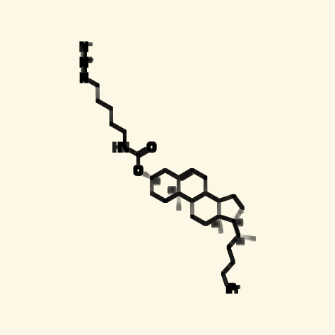 CC(C)CCC[C@@H](C)[C@H]1CCC2C3CC=C4C[C@@H](OC(=O)NCCCCCN=[N+]=[N-])CC[C@]4(C)C3CC[C@@]21C